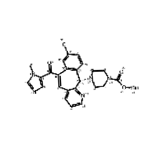 Cn1cncc1C(=O)C1=Cc2cccnc2[C@@H](N2CCN(C(=O)OC(C)(C)C)CC2)c2ccc(Cl)cc21